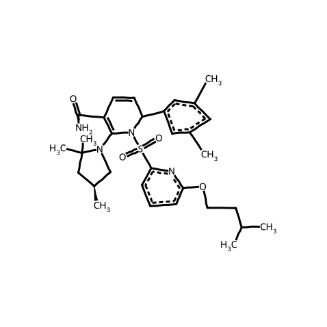 Cc1cc(C)cc(C2C=CC(C(N)=O)=C(N3C[C@@H](C)CC3(C)C)N2S(=O)(=O)c2cccc(OCCC(C)C)n2)c1